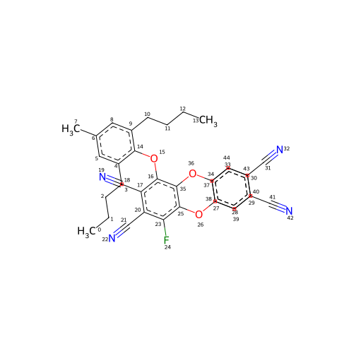 CCCCc1cc(C)cc(CCCC)c1Oc1c(C#N)c(C#N)c(F)c(Oc2ccc(C#N)cc2)c1Oc1ccc(C#N)cc1